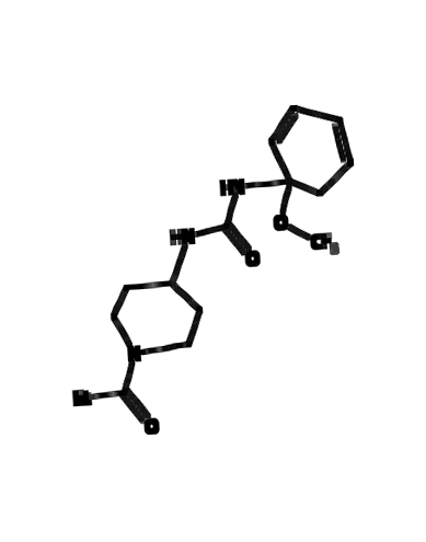 CCC(=O)N1CCC(NC(=O)NC2(OC(F)(F)F)C=CC=CC2)CC1